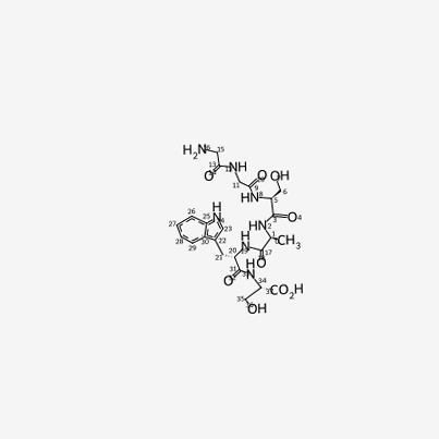 C[C@H](NC(=O)[C@H](CO)NC(=O)CNC(=O)CN)C(=O)N[C@@H](Cc1c[nH]c2ccccc12)C(=O)N[C@@H](CO)C(=O)O